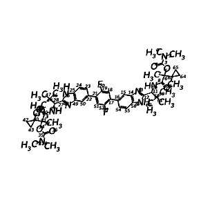 CN(C)C(=O)OC(C)(C(=O)N[C@H](c1nc2cc(-c3cc(F)c(-c4ccc5[nH]c([C@@H](NC(=O)C(C)(OC(=O)N(C)C)C6(C)CC6)C(C)(C)C)nc5c4)cc3F)ccc2[nH]1)C(C)(C)C)C1(C)CC1